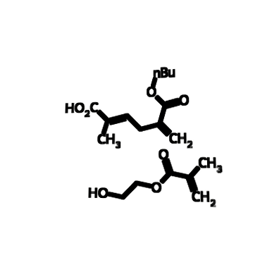 C=C(C)C(=O)OCCO.C=C(CC=C(C)C(=O)O)C(=O)OCCCC